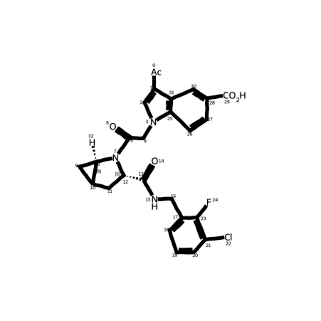 CC(=O)c1cn(CC(=O)N2[C@@H]3CC3C[C@H]2C(=O)NCc2cccc(Cl)c2F)c2ccc(C(=O)O)cc12